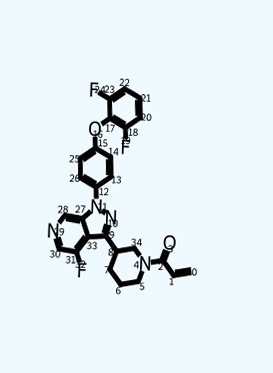 C=CC(=O)N1CCCC(c2nn(-c3ccc(Oc4c(F)cccc4F)cc3)c3cncc(F)c23)C1